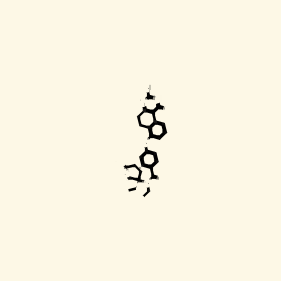 CCN(C(=O)c1ccc(Nc2cccc3c2CCc2nc(N)[nH]c(=O)c2-3)cc1)[C@@](CC)(CCC(=O)O)C(=O)O